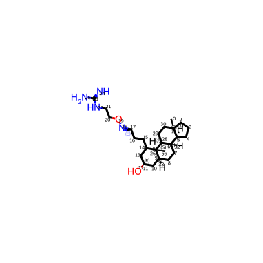 C[C@@]12CCC[C@H]1[C@@H]1CC[C@@H]3C[C@@H](O)CC(CC/C=N/OCCNC(=N)N)[C@]3(C)[C@H]1CC2